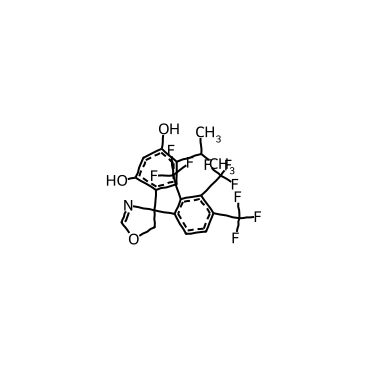 CC(C)c1cc(C2(c3ccc(C(F)(F)F)c(C(F)(F)F)c3C(F)(F)F)COC=N2)c(O)cc1O